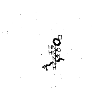 Cc1cc(NCCCN(C)C)nc(NC(=O)Nc2ccc(Cl)cc2)n1